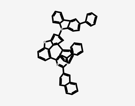 c1ccc(-c2ccc3c(c2)c2ccccc2n3-c2cc(-c3ccccc3)c3c(c2)oc2cccc(-c4nc(-c5ccccc5)nc(-c5ccc6ccccc6c5)n4)c23)cc1